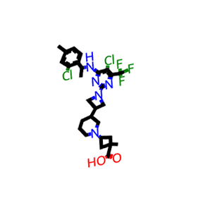 Cc1ccc(C(C)Nc2nc(N3CC(C4CCCN(C5CC(C)(C(=O)O)C5)C4)C3)nc(C(F)(F)F)c2Cl)c(Cl)c1